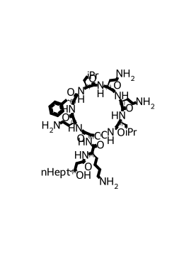 CCCCCCC[C@@H](O)CC(=O)N[C@H](CCCCN)C(=O)N[C@H]1CCNC(=O)[C@H](CC(C)C)NC(=O)[C@H](CCN)NC(=O)[C@H](CCN)NC(=O)[C@H](CC(C)C)NC(=O)[C@@H](Cc2ccccc2)NC(=O)[C@H](CCN)NC1=O